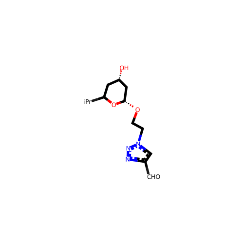 CC(C)C1C[C@H](O)C[C@H](OCCn2cc(C=O)nn2)O1